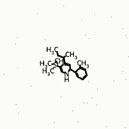 CCC(C)C1=CC(c2ccccc2C)NC=C1[Si](C)(C)C